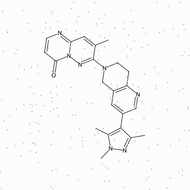 Cc1cc2nccc(=O)n2nc1N1CCc2ncc(-c3c(C)nn(C)c3C)cc2C1